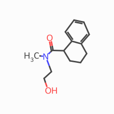 CN(CCO)C(=O)C1CCCc2ccccc21